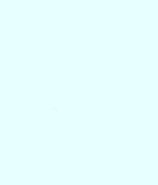 Cc1nccn1CCC(C)C